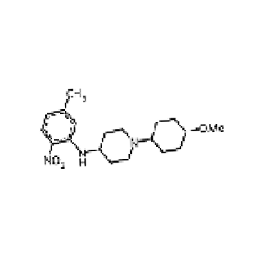 CO[C@H]1CC[C@@H](N2CCC(Nc3cc(C)ccc3[N+](=O)[O-])CC2)CC1